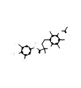 CC(=O)Oc1c(C)c(C)c2c(c1C)CCC(C)(C(=O)Nc1cc(Cl)c(O)c(Cl)c1)O2